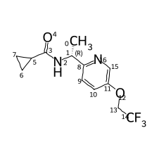 C[C@@H](NC(=O)C1CC1)c1ccc(OCC(F)(F)F)cn1